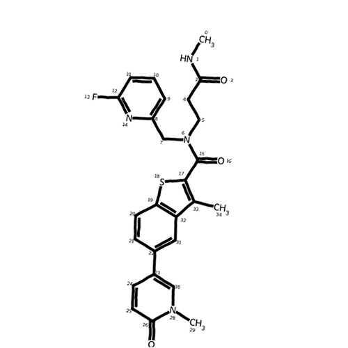 CNC(=O)CCN(Cc1cccc(F)n1)C(=O)c1sc2ccc(-c3ccc(=O)n(C)c3)cc2c1C